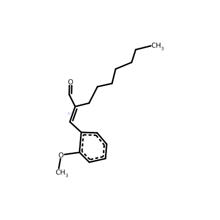 CCCCCCC/C(C=O)=C\c1ccccc1OC